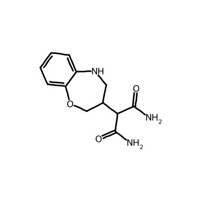 NC(=O)C(C(N)=O)C1CNc2ccccc2OC1